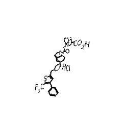 CN(CCC(=O)O)CC(=O)N1CCc2cc(OCc3cc(-c4ccccc4)c(C(F)(F)F)s3)ccc21.Cl